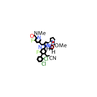 CNC(=O)c1ncc(-c2nc3c(F)c(-c4cccc(Cl)c4Cl)c(CCC#N)cc3c3c2cc([C@H]2CCCN2C(=O)OC)n3[C@H]2[C@H]3CN[C@@H]2C3)cc1F